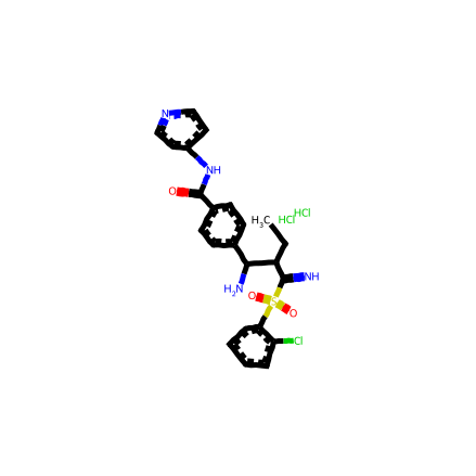 CCC(C(=N)S(=O)(=O)c1ccccc1Cl)C(N)c1ccc(C(=O)Nc2ccncc2)cc1.Cl.Cl